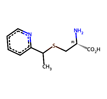 CC(SC[C@H](N)C(=O)O)c1ccccn1